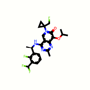 Cc1nc(N[C@H](C)c2cccc(C(F)F)c2F)c2cn(C3(CF)CC3)c(=O)c(OC(C)C)c2n1